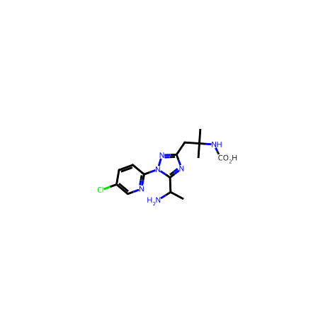 CC(N)c1nc(CC(C)(C)NC(=O)O)nn1-c1ccc(Cl)cn1